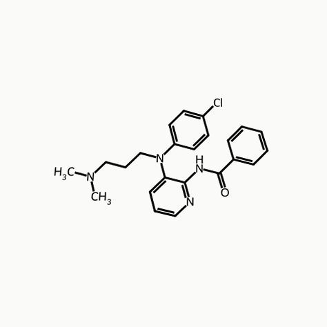 CN(C)CCCN(c1ccc(Cl)cc1)c1cccnc1NC(=O)c1ccccc1